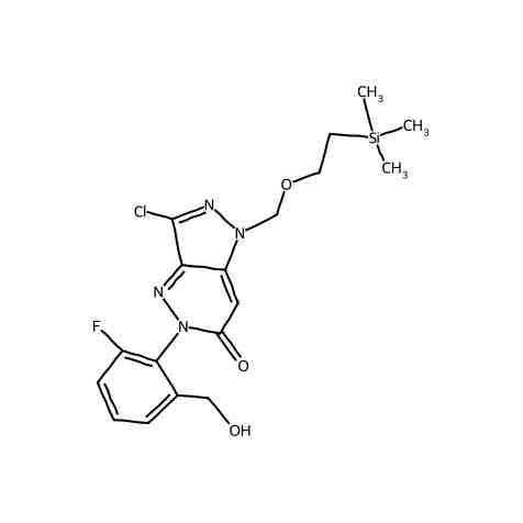 C[Si](C)(C)CCOCn1nc(Cl)c2nn(-c3c(F)cccc3CO)c(=O)cc21